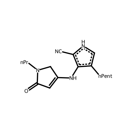 CCCCCc1c[nH]c(C#N)c1NC1=CC(=O)N(CCC)C1